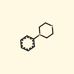 [c]1ccccc1N1CCSCC1